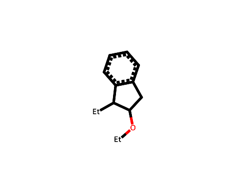 CCOC1Cc2ccccc2C1CC